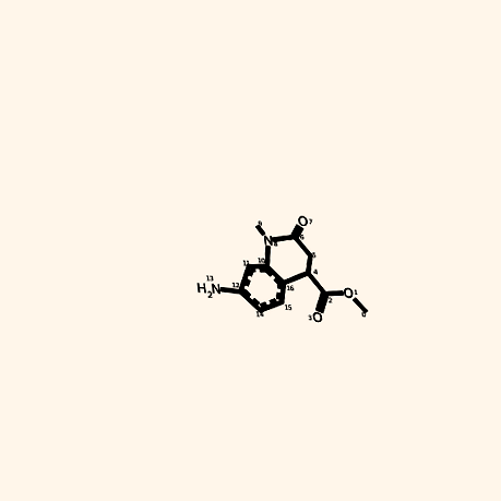 COC(=O)C1CC(=O)N(C)c2cc(N)ccc21